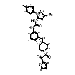 Cc1ccc(-n2nc(C(C)(C)C)cc2NC(=O)Nc2cccc(CC3CCN(C(=O)C(=O)c4ccco4)CC3)c2)cc1